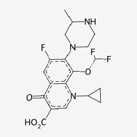 CC1CN(c2c(F)cc3c(=O)c(C(=O)O)cn(C4CC4)c3c2OC(F)F)CCN1